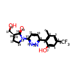 Cc1cc(C(F)(F)F)cc(O)c1-c1ccc(N2CC[C@@H](CO)C2=O)nn1